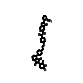 CN1CCC[C@@H]1c1cc2cnc(NC(=O)c3ccc(OCCC4CCN(c5cccc6c5C(=O)N(C5CCC(=O)NC5=O)C6=O)CC4)nc3)cc2[nH]1